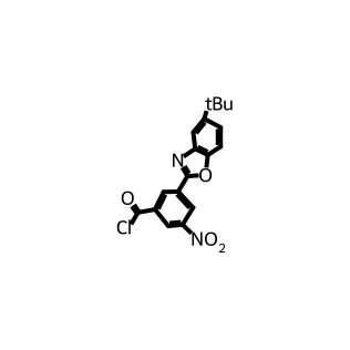 CC(C)(C)c1ccc2oc(-c3cc(C(=O)Cl)cc([N+](=O)[O-])c3)nc2c1